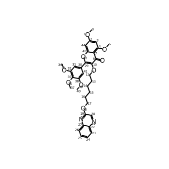 COc1cc(OC)c2c(=O)c(OCCCCCCOc3cnc4ccccc4n3)c(-c3cc(OC)c(OC)c(OC)c3)oc2c1